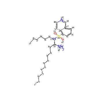 CCCCCCCCCCCC(N)N(CCCCCC)S(=O)(=O)c1cccc2cnccc12